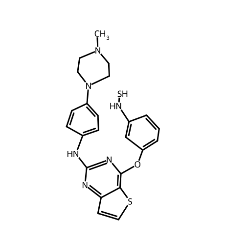 CN1CCN(c2ccc(Nc3nc(Oc4cccc(NS)c4)c4sccc4n3)cc2)CC1